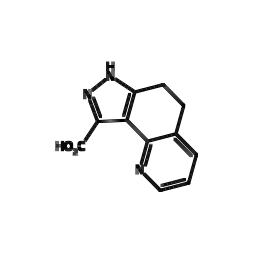 O=C(O)c1n[nH]c2c1-c1ncccc1CC2